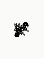 Cc1c(C(=O)N(C)Cc2ccccc2F)[nH]c(C(N)=O)c1S(=O)(=O)c1ccccc1